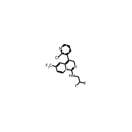 FC(F)CNC1=NCC(c2cccnc2Cl)=C2C=C(C(F)(F)F)C=CN12